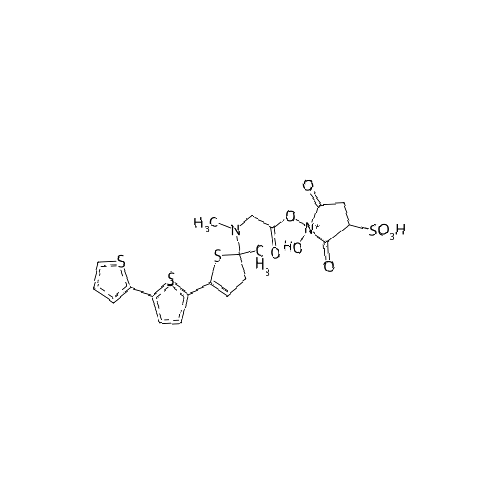 CN(CC(=O)O[N+]1(O)C(=O)CC(S(=O)(=O)O)C1=O)C1(C)CC=C(c2ccc(-c3cccs3)s2)S1